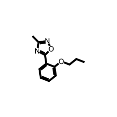 CCCOc1ccccc1-c1nc(C)no1